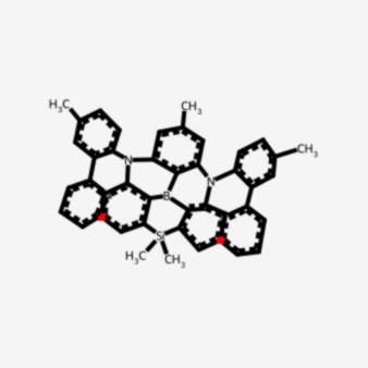 Cc1ccc(N2c3cc(C)cc4c3B3c5c2cccc5[Si](C)(C)c2cccc(c23)N4c2ccc(C)cc2-c2ccccn2)c(-c2ccccn2)c1